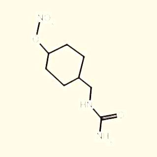 NC(=O)NCC1CCC(O[N+](=O)[O-])CC1